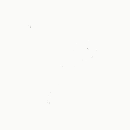 Cc1c(C(=O)CN2C3CCC2[C@H](O)C3)cc(CC2CC(C#N)C2)n1-c1ccc(C#N)cc1